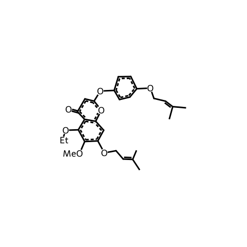 CCOc1c(OC)c(OCC=C(C)C)cc2oc(Oc3ccc(OCC=C(C)C)cc3)cc(=O)c12